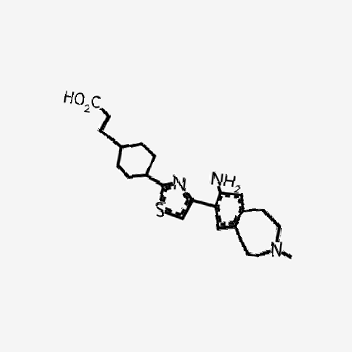 CN1CCc2cc(N)c(-c3csc(C4CCC(CCC(=O)O)CC4)n3)cc2CC1